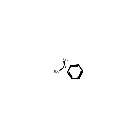 CC(C)(C)OC(C)(C)C.c1ccccc1